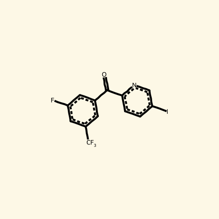 O=C(c1cc(F)cc(C(F)(F)F)c1)c1ccc(I)cn1